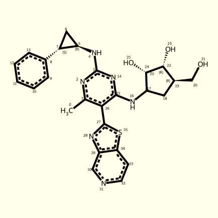 Cc1nc(N[C@@H]2C[C@H]2c2ccccc2)nc(NC2C[C@H](CO)[C@@H](O)[C@H]2O)c1-c1nc2cnccc2s1